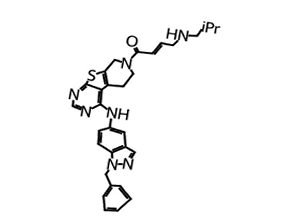 CC(C)CNC/C=C/C(=O)N1CCc2c(sc3ncnc(Nc4ccc5c(cnn5Cc5ccccc5)c4)c23)C1